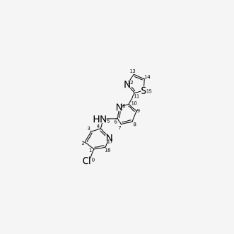 Clc1ccc(Nc2cccc(-c3nccs3)n2)nc1